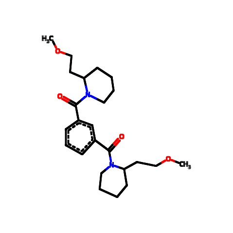 COCCC1CCCCN1C(=O)c1cccc(C(=O)N2CCCCC2CCOC)c1